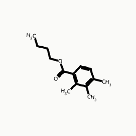 CCCCOC(=O)c1ccc(C)c(C)c1C